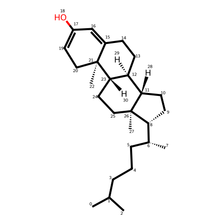 CC(C)CCC[C@@H](C)[C@H]1CC[C@H]2[C@@H]3CCC4=CC(O)=CC[C@]4(C)[C@H]3CC[C@]12C